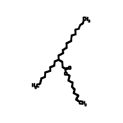 CCCCCCCCCCCCCC(CCCCCCCCC)CCC(=O)OCCCCCCCCC